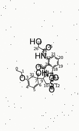 CCOC1=CC=CC(O)(C(CS(C)(=O)=O)N2C(=O)c3cccc(NC(=O)CO)c3C2=O)C1